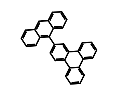 c1ccc2c(-c3ccc4c5ccccc5c5ccccc5c4c3)c3ccccc3cc2c1